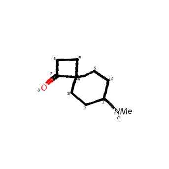 CNC1CCC2(CCC2=O)CC1